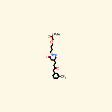 COC(=O)COCCCCN1NCC(CCC(=O)Cc2cccc(C(F)(F)F)c2)CC1=O